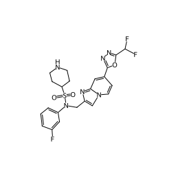 O=S(=O)(C1CCNCC1)N(Cc1cn2ccc(-c3nnc(C(F)F)o3)cc2n1)c1cccc(F)c1